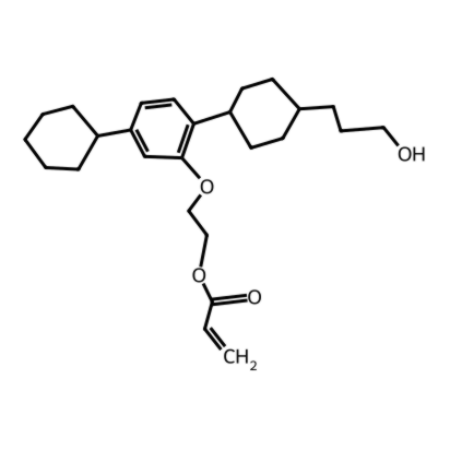 C=CC(=O)OCCOc1cc(C2CCCCC2)ccc1C1CCC(CCCO)CC1